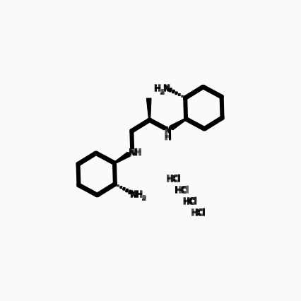 C[C@H](CN[C@@H]1CCCC[C@H]1N)N[C@@H]1CCCC[C@H]1N.Cl.Cl.Cl.Cl